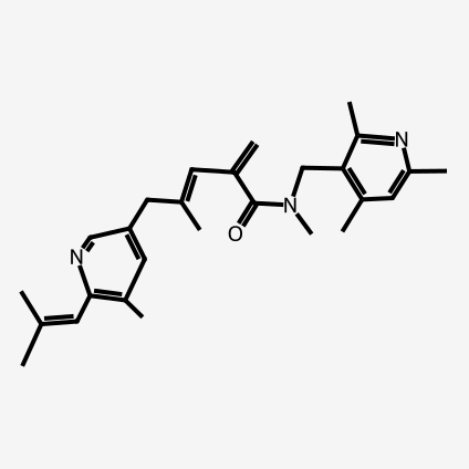 C=C(/C=C(\C)Cc1cnc(C=C(C)C)c(C)c1)C(=O)N(C)Cc1c(C)cc(C)nc1C